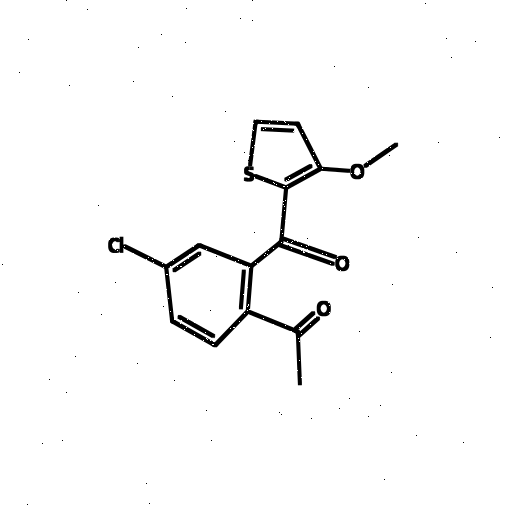 COc1ccsc1C(=O)c1cc(Cl)ccc1C(C)=O